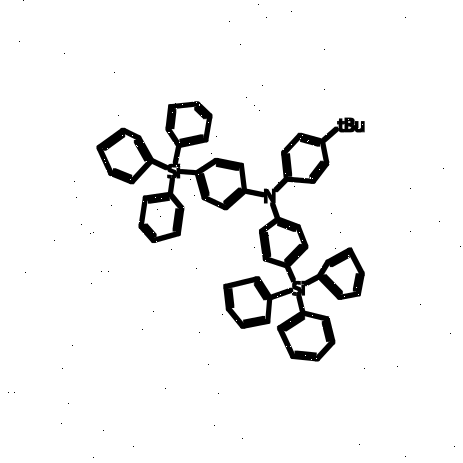 CC(C)(C)c1ccc(N(c2ccc([Si](c3ccccc3)(c3ccccc3)c3ccccc3)cc2)c2ccc([Si](c3ccccc3)(c3ccccc3)c3ccccc3)cc2)cc1